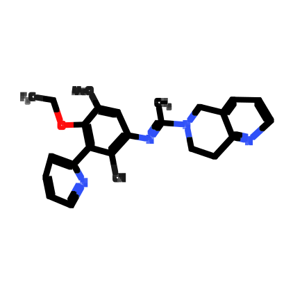 COc1cc(N=C(C)N2CCc3ncccc3C2)c(C#N)c(-c2ccccn2)c1OCC(F)(F)F